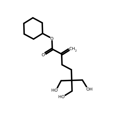 C=C(CCC(CO)(CO)CO)C(=O)OC1CCCCC1